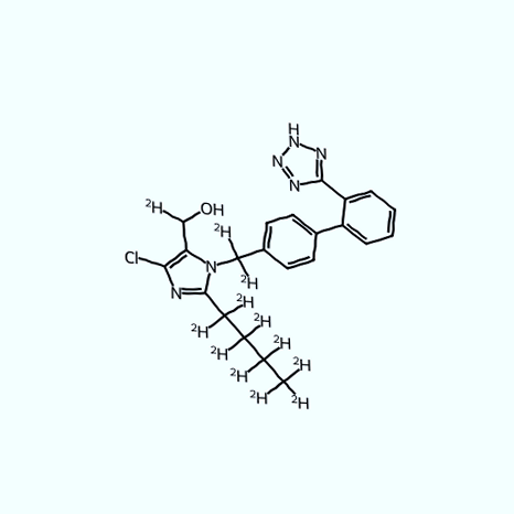 [2H]C(O)c1c(Cl)nc(C([2H])([2H])C([2H])([2H])C([2H])([2H])C([2H])([2H])[2H])n1C([2H])([2H])c1ccc(-c2ccccc2-c2nn[nH]n2)cc1